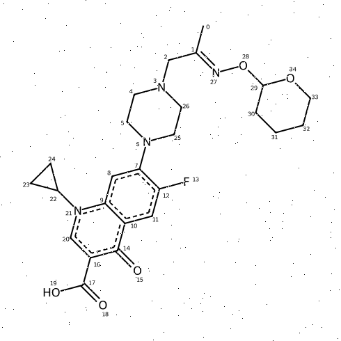 CC(CN1CCN(c2cc3c(cc2F)c(=O)c(C(=O)O)cn3C2CC2)CC1)=NOC1CCCCO1